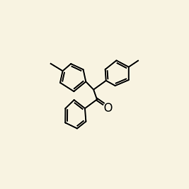 Cc1ccc(C(C(=O)c2ccccc2)c2ccc(C)cc2)cc1